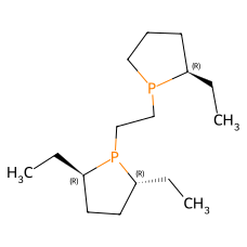 CC[C@@H]1CCCP1CCP1[C@H](CC)CC[C@H]1CC